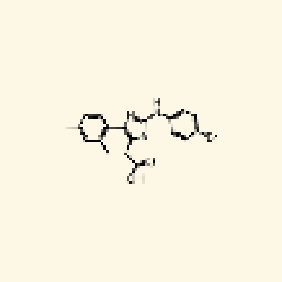 Cc1ccc(-c2nc(Nc3ccc(Br)cc3)sc2CC(=O)O)c(C)c1